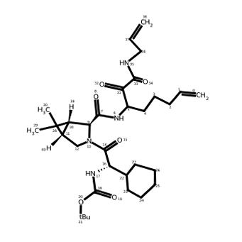 C=CCCCC(NC(=O)[C@@H]1[C@@H]2[C@H](CN1C(=O)[C@@H](NC(=O)OC(C)(C)C)C1CCCCC1)C2(C)C)C(=O)C(=O)NCC=C